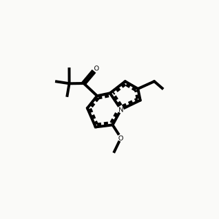 CCc1cc2c(C(=O)C(C)(C)C)ccc(OC)n2c1